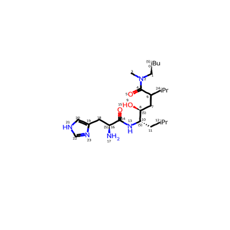 CC[C@H](C)CN(C)C(=O)C(C[C@H](O)[C@H](CC(C)C)NC(=O)[C@@H](N)Cc1c[nH]cn1)C(C)C